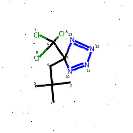 CC(C)(C)CC1(C(Cl)(Cl)Cl)N=NN=N1